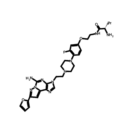 CC(C)[C@H](N)C(=O)NCCOc1ccc(N2CCN(CCn3cnc4c3nc(N)n3nc(-c5ccco5)cc43)CC2)c(F)c1